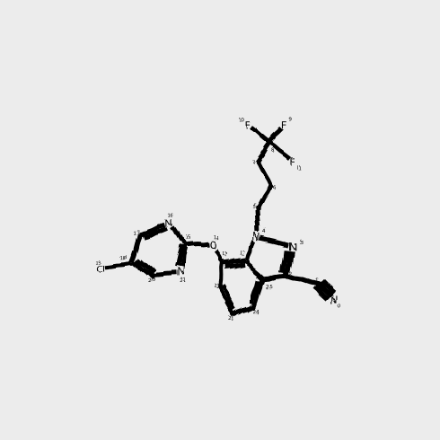 N#Cc1nn(CCCC(F)(F)F)c2c(Oc3ncc(Cl)cn3)cccc12